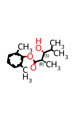 Cc1cccc(C)c1OC(=O)[C@H](C)[C@@H](O)C(C)C